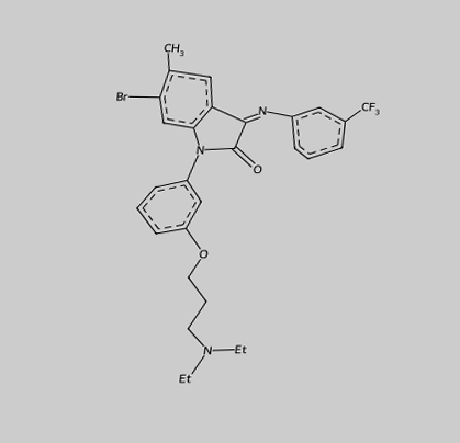 CCN(CC)CCCOc1cccc(N2C(=O)C(=Nc3cccc(C(F)(F)F)c3)c3cc(C)c(Br)cc32)c1